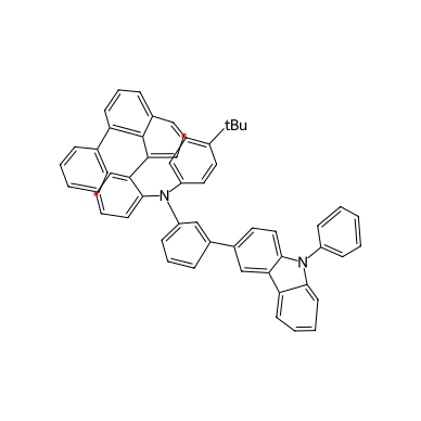 CC(C)(C)c1ccc(N(c2cccc(-c3ccc4c(c3)c3ccccc3n4-c3ccccc3)c2)c2ccccc2-c2cccc3cccc(-c4ccccc4)c23)cc1